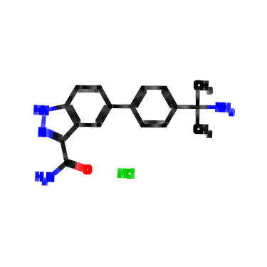 CC(C)(N)c1ccc(-c2ccc3[nH]nc(C(N)=O)c3c2)cc1.Cl